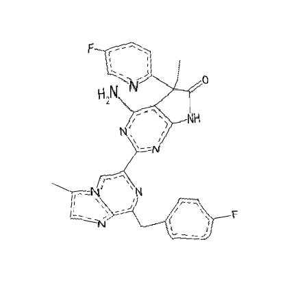 Cc1cnc2c(Cc3ccc(F)cc3)nc(-c3nc(N)c4c(n3)NC(=O)C4(C)c3ccc(F)cn3)cn12